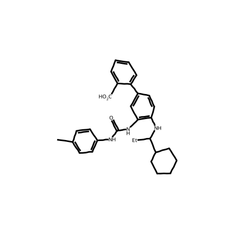 CCC(Nc1ccc(-c2ccccc2C(=O)O)cc1NC(=O)Nc1ccc(C)cc1)C1CCCCC1